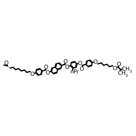 C=C(C)C(=O)OCCCCCCOc1ccc(C(=O)Oc2ccc(OC(=O)c3ccc4cc(OC(=O)c5ccc(OCCCCCCCC[C@@H]6CO6)cc5)ccc4c3)c(CCC)c2)cc1